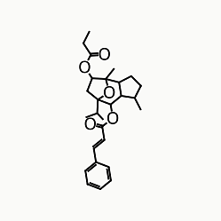 CCC(=O)OC1CC2(C(C)C)OC1(C)C1CCC(C)C1C2OC(=O)/C=C/c1ccccc1